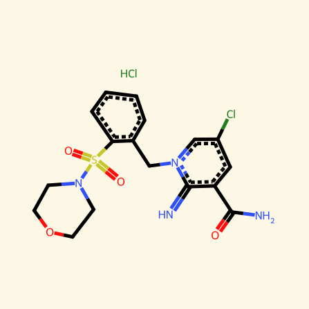 Cl.N=c1c(C(N)=O)cc(Cl)cn1Cc1ccccc1S(=O)(=O)N1CCOCC1